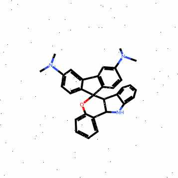 CN(C)c1ccc2c(c1)-c1cc(N(C)C)ccc1C21Oc2ccccc2C2Nc3ccccc3C21